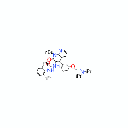 CCCCn1c(=O)c(NC(=O)Nc2c(C(C)C)cccc2C(C)C)c(-c2cccc(OCCN(C(C)C)C(C)C)c2)c2cccnc21